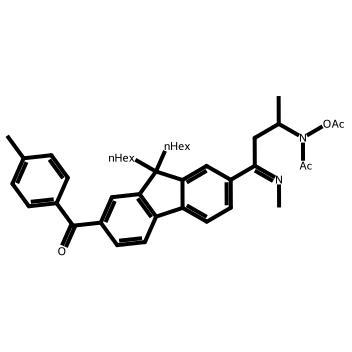 CCCCCCC1(CCCCCC)c2cc(C(=O)c3ccc(C)cc3)ccc2-c2ccc(/C(CC(C)N(OC(C)=O)C(C)=O)=N\C)cc21